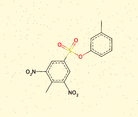 Cc1cccc(OS(=O)(=O)c2cc([N+](=O)[O-])c(C)c([N+](=O)[O-])c2)c1